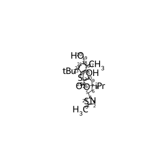 Cc1cnc(CCC2(C(C)C)CC(O)=C(Sc3cc(C)c(CO)cc3C(C)(C)C)C(=O)O2)s1